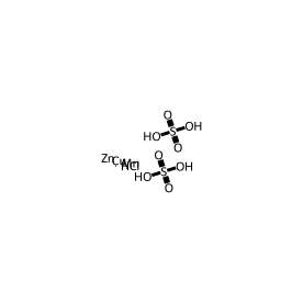 Cl.O=S(=O)(O)O.O=S(=O)(O)O.[Cu].[Mn].[Zn]